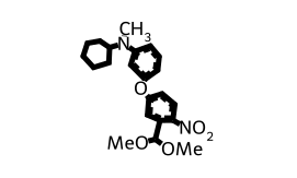 COC(OC)c1cc(Oc2cccc(N(C)C3CCCCC3)c2)ccc1[N+](=O)[O-]